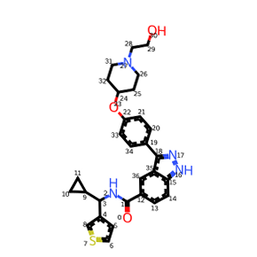 O=C(NC(c1ccsc1)C1CC1)c1ccc2[nH]nc(-c3ccc(OC4CCN(CCO)CC4)cc3)c2c1